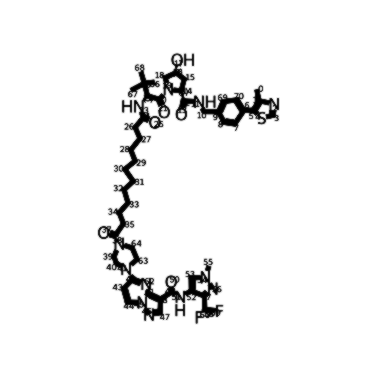 Cc1ncsc1-c1ccc(CNC(=O)[C@@H]2C[C@@H](O)CN2C(=O)[C@@H](NC(=O)CCCCCCCCCCC(=O)N2CCN(c3ccn4ncc(C(=O)Nc5cn(C)nc5C(F)F)c4n3)CC2)C(C)(C)C)cc1